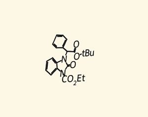 CCOC(=O)n1c(=O)n(C(C(=O)OC(C)(C)C)c2ccccc2)c2ccccc21